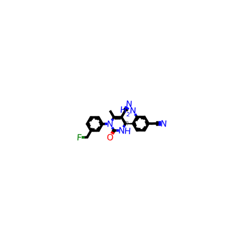 CC1=C(C#N)[C@@H](c2ccc(C#N)cc2N)NC(=O)N1c1cccc(CF)c1